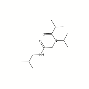 CC(C)CNC(=O)CN(C(=O)C(C)C)C(C)C